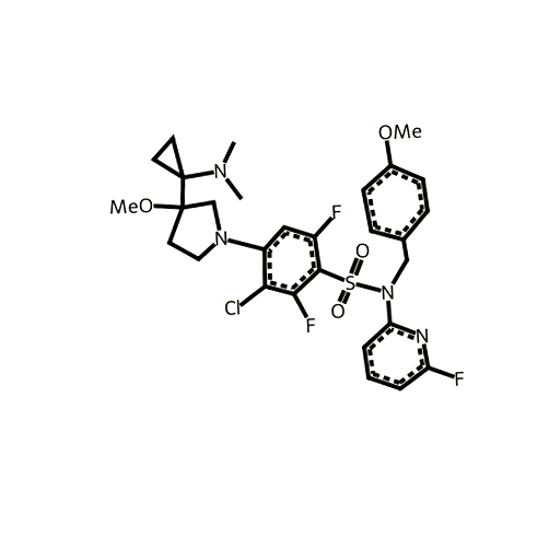 COc1ccc(CN(c2cccc(F)n2)S(=O)(=O)c2c(F)cc(N3CCC(OC)(C4(N(C)C)CC4)C3)c(Cl)c2F)cc1